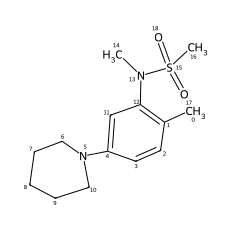 Cc1ccc(N2CCCCC2)cc1N(C)S(C)(=O)=O